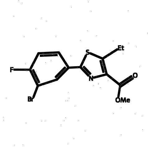 CCc1sc(-c2ccc(F)c(Br)c2)nc1C(=O)OC